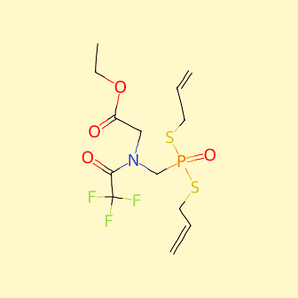 C=CCSP(=O)(CN(CC(=O)OCC)C(=O)C(F)(F)F)SCC=C